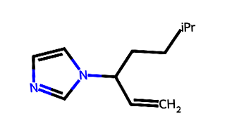 C=CC(CCC(C)C)n1ccnc1